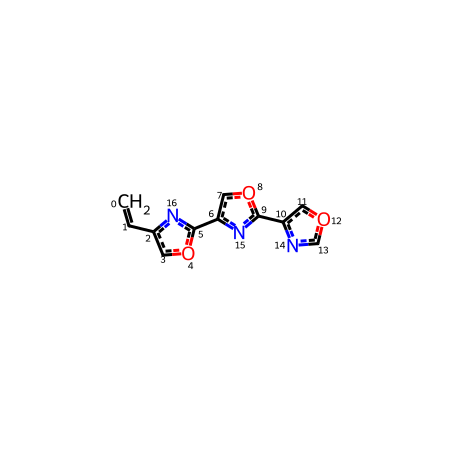 C=Cc1coc(-c2coc(-c3cocn3)n2)n1